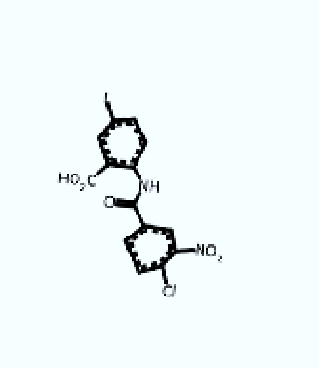 O=C(Nc1ccc(I)cc1C(=O)O)c1ccc(Cl)c([N+](=O)[O-])c1